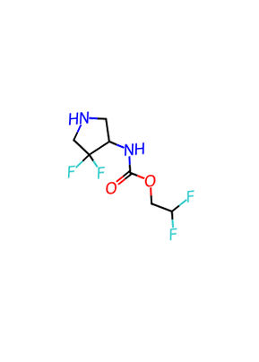 O=C(NC1CNCC1(F)F)OCC(F)F